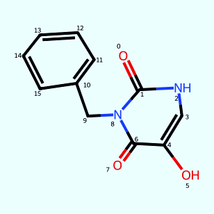 O=c1[nH]cc(O)c(=O)n1Cc1ccccc1